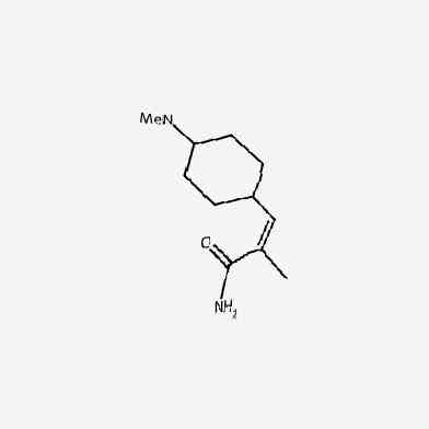 CNC1CCC(C=C(C)C(N)=O)CC1